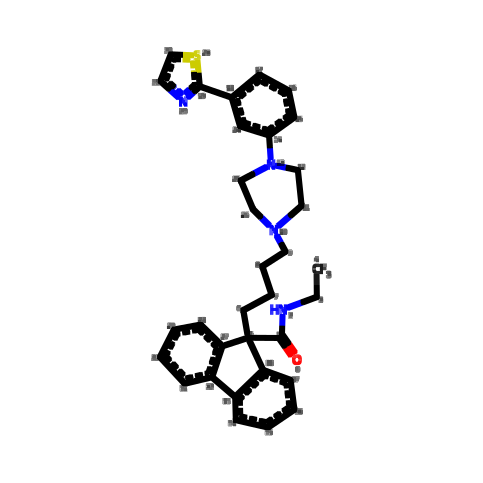 O=C(NCC(F)(F)F)C1(CCCCN2CCN(c3cccc(-c4nccs4)c3)CC2)c2ccccc2-c2ccccc21